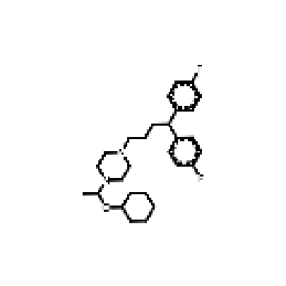 CC(OC1CCCCC1)N1CCN(CCCC(c2ccc(F)cc2)c2ccc(F)cc2)CC1